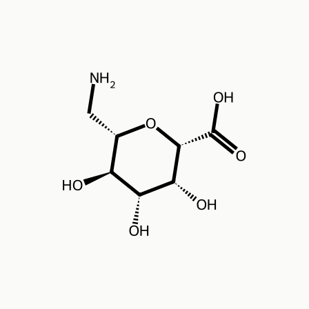 NC[C@@H]1O[C@H](C(=O)O)[C@H](O)[C@H](O)[C@H]1O